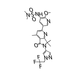 COc1ncc(-c2cc(C)c3c(n2)C(C)(C)N(c2cnn(CC(F)(F)F)c2)C3=O)cc1NS(=O)(=O)N(C)C